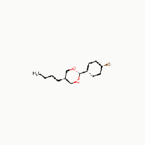 CCCC[C@H]1CO[C@H]([C@H]2CC[C@H](Br)CC2)OC1